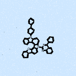 c1ccc(-c2ccc(-n3c4ccccc4c4c5c6c7oc8ccccc8c7ccc6n(-c6nc(-c7ccccc7)c7ccccc7n6)c5ccc43)cc2)cc1